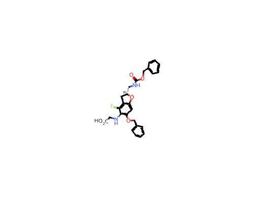 O=C(O)CNc1c(OCc2ccccc2)cc2c(c1F)C[C@H](CNC(=O)OCc1ccccc1)O2